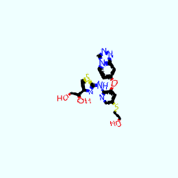 OCCSc1cnc(Nc2nc(C(O)CO)cs2)c(Oc2ccn3cnnc3c2)c1